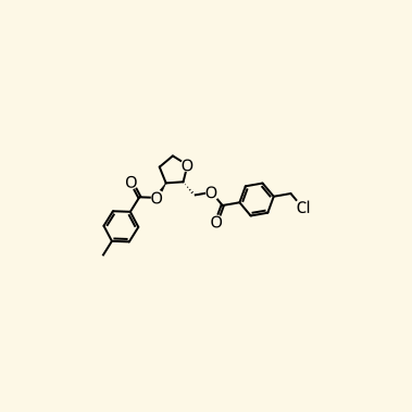 Cc1ccc(C(=O)O[C@H]2CCO[C@@H]2COC(=O)c2ccc(CCl)cc2)cc1